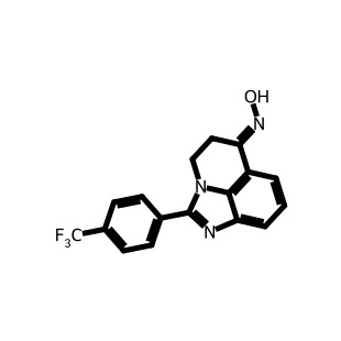 O/N=C1\CCn2c(-c3ccc(C(F)(F)F)cc3)nc3cccc1c32